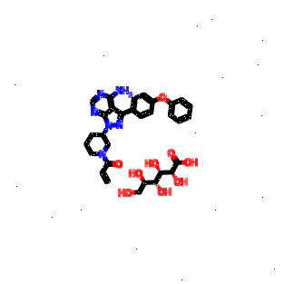 C=CC(=O)N1CCC[C@@H](n2nc(-c3ccc(Oc4ccccc4)cc3)c3c(N)ncnc32)C1.O=C(O)[C@H](O)[C@@H](O)[C@H](O)[C@H](O)CO